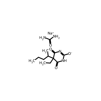 CCCC(C)C1(CC)C(=O)N=C([O-])NC1=O.NC(N)=O.[Na+]